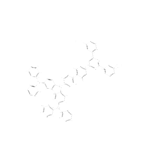 Cc1cccc(-c2cc(-c3cc(C)c(-c4ccc(-n5c6ccc(N(c7ccccc7)c7ccccc7)cc6c6cc(N(c7ccccc7)c7ccccc7)ccc65)cc4)c(C)c3)nc(-c3cccc(C)c3)n2)c1